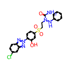 NC(=O)N(CCS(=O)(=O)c1ccc(-n2nc3ccc(Cl)cc3n2)c(O)c1)Nc1ccccc1